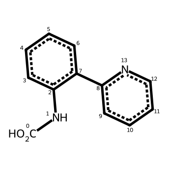 O=C(O)Nc1ccccc1-c1ccccn1